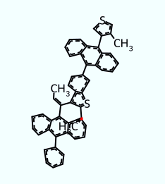 C=Cc1sc2cc(-c3c4ccccc4c(-c4cscc4C)c4ccccc34)ccc2c1/C(=C\C)c1c2ccccc2c(-c2ccccc2)c2ccccc12